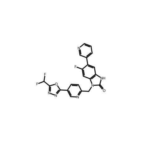 O=c1[nH]c2cc(-c3cccnc3)c(F)cc2n1Cc1ccc(-c2nnc(C(F)F)o2)cn1